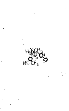 CC1(C)C(=O)N(c2ccc(C#N)c(C(F)(F)F)c2)C(=S)N1Cc1ccc(-c2cccs2)nc1